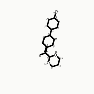 CCC1CCC(C2CCC(=C(C)C3OCCCO3)CC2)CC1